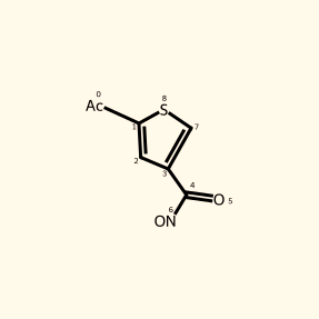 CC(=O)c1cc(C(=O)N=O)cs1